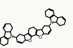 C1=CC2=C(CC1)N(C1C=CC3OC4=C(CCC5=C4OC4C=CC(N6C7=C(C=CCC7)C7C=CCCC76)CC54)C3C1)C1CCC=CC21